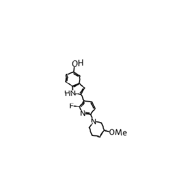 COC1CCCN(c2ccc(-c3cc4cc(O)ccc4[nH]3)c(F)n2)C1